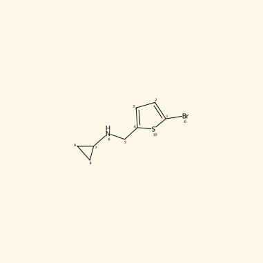 Brc1ccc(CNC2CC2)s1